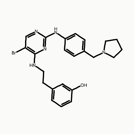 Oc1cccc(CCNc2nc(Nc3ccc(CN4CCCC4)cc3)ncc2Br)c1